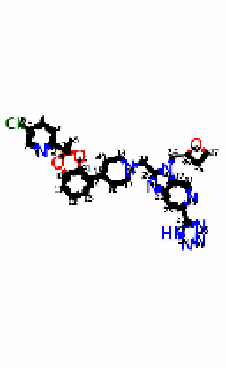 CC1(c2ccc(Cl)cn2)Oc2cccc(C3CCN(Cc4nc5cc(-c6nnn[nH]6)ncc5n4C[C@@H]4CCO4)CC3)c2O1